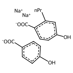 CCCc1cc(O)ccc1C(=O)[O-].O=C([O-])c1ccc(O)cc1.[Na+].[Na+]